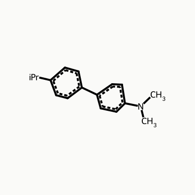 CC(C)c1ccc(-c2ccc(N(C)C)cc2)cc1